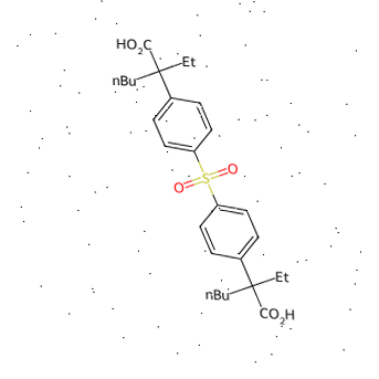 CCCCC(CC)(C(=O)O)c1ccc(S(=O)(=O)c2ccc(C(CC)(CCCC)C(=O)O)cc2)cc1